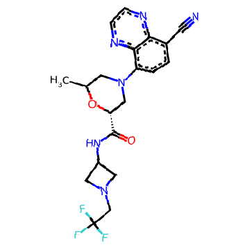 CC1CN(c2ccc(C#N)c3nccnc23)C[C@H](C(=O)NC2CN(CC(F)(F)F)C2)O1